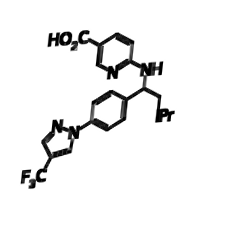 CC(C)CC(Nc1ccc(C(=O)O)cn1)c1ccc(-n2cc(C(F)(F)F)cn2)cc1